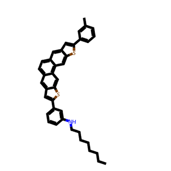 CCCCCCCCNc1cccc(-c2cc3cc4ccc5cc6cc(-c7cccc(C)c7)sc6cc5c4cc3s2)c1